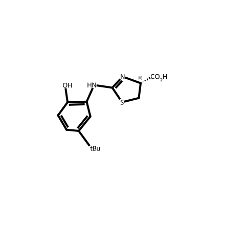 CC(C)(C)c1ccc(O)c(NC2=N[C@H](C(=O)O)CS2)c1